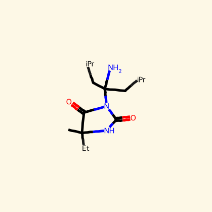 CCC1(C)NC(=O)N(C(N)(CC(C)C)CC(C)C)C1=O